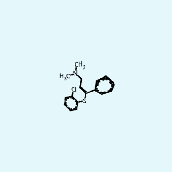 CN(C)C/C=C(/Sc1ccccc1Cl)c1ccccc1